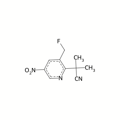 CC(C)(C#N)c1ncc([N+](=O)[O-])cc1CF